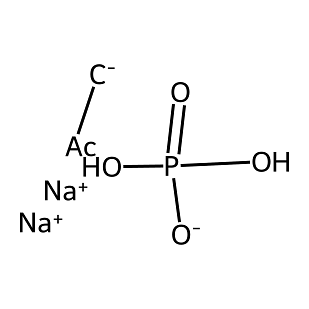 O=P([O-])(O)O.[CH2-]C(C)=O.[Na+].[Na+]